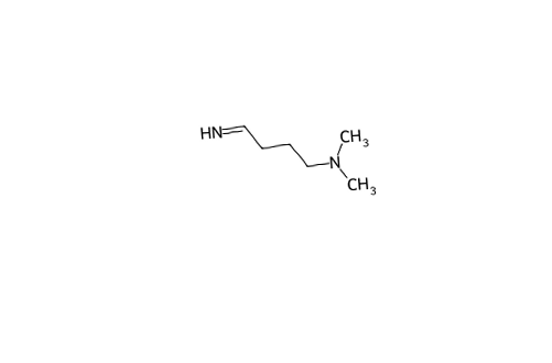 CN(C)CCCC=N